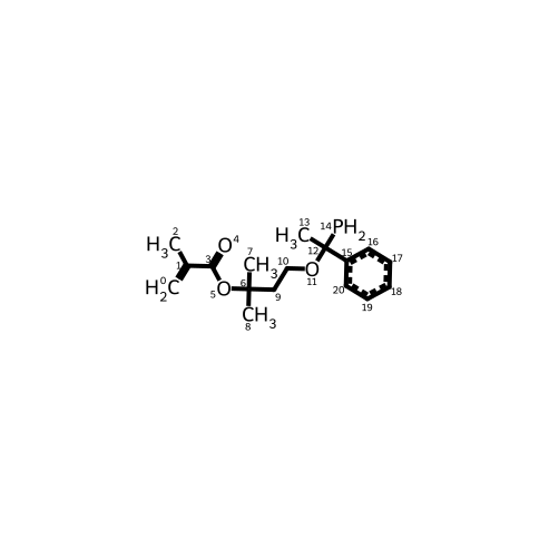 C=C(C)C(=O)OC(C)(C)CCOC(C)(P)c1ccccc1